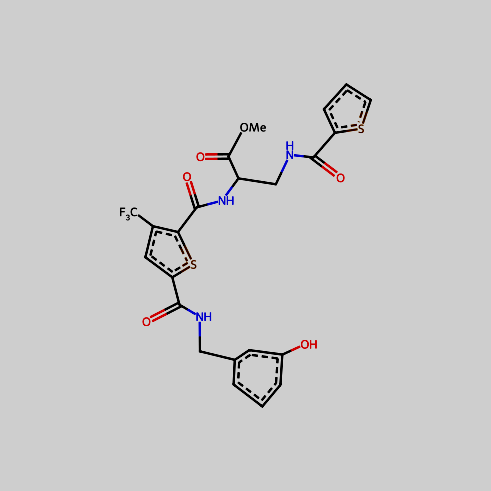 COC(=O)C(CNC(=O)c1cccs1)NC(=O)c1sc(C(=O)NCc2cccc(O)c2)cc1C(F)(F)F